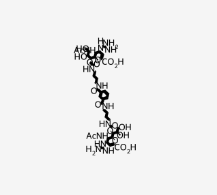 CC(=O)N[C@H]1[C@H]([C@H](OC(=O)NCCCCNC(=O)c2cccc(C(=O)NCCCCNC(=O)O[C@@H]([C@@H]3OC(C(=O)O)=C[C@H](NC(=N)N)[C@H]3NC(C)=O)[C@H](O)CO)c2)[C@H](O)CO)OC(C(=O)O)=C[C@@H]1NC(=N)N